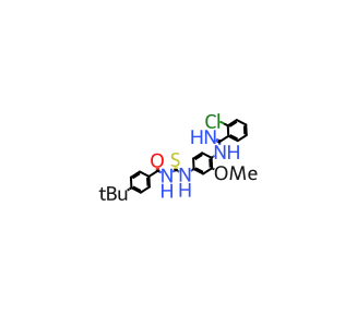 COc1cc(NC(=S)NC(=O)c2ccc(C(C)(C)C)cc2)ccc1NC(=N)c1ccccc1Cl